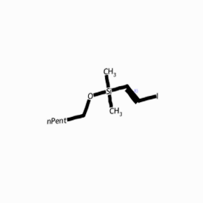 CCCCCCO[Si](C)(C)/C=C/I